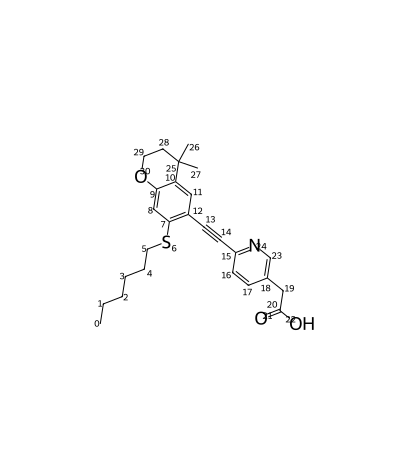 CCCCCCSc1cc2c(cc1C#Cc1ccc(CC(=O)O)cn1)C(C)(C)CCO2